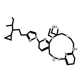 CCC(C)C(CCc1ccn(C2CC=C3CNSC4=CCCC(=N4)NCCCCC(C)(CN)N(CC)C3=N2)n1)C1CC1